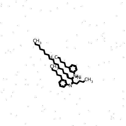 CCCCCCCCCCCCCCC=CC(C(CCCC)=Nc1cccc(CCCCC)c1)=[N+]([Ni])c1cccc(CCCCC)c1